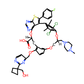 Cc1c(Cl)c2c(Cl)c(C)c1-c1c(-c3ccc(F)cc3)sc3ncnc(c13)O[C@@H](C(=O)O)Cc1cc(ccc1OCc1ccnc(C3(CO)CCC3)n1)OC[C@@H](CN1CCN(C)CC1)O2